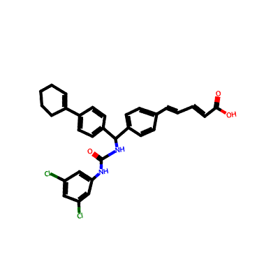 O=C(O)C=CC=Cc1ccc(C(NC(=O)Nc2cc(Cl)cc(Cl)c2)c2ccc(C3=CCCCC3)cc2)cc1